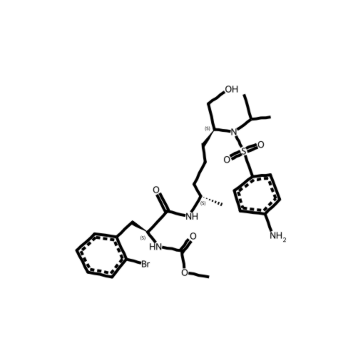 COC(=O)N[C@@H](Cc1ccccc1Br)C(=O)N[C@@H](C)CCC[C@@H](CO)N(C(C)C)S(=O)(=O)c1ccc(N)cc1